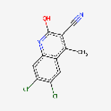 Cc1c(C#N)c(O)nc2cc(Cl)c(Cl)cc12